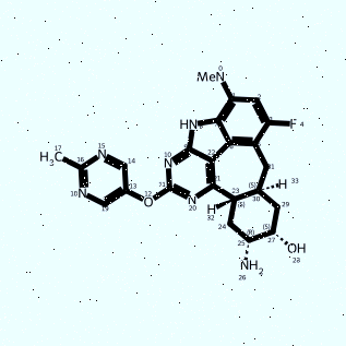 CNc1cc(F)c2c3c1[nH]c1nc(Oc4cnc(C)nc4)nc(c13)[C@H]1C[C@@H](N)[C@@H](O)C[C@@H]1C2